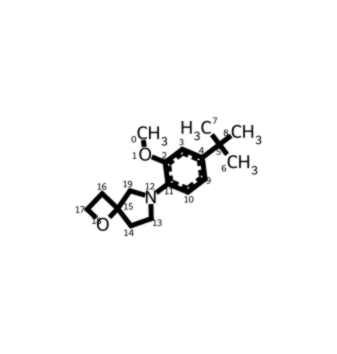 COc1cc(C(C)(C)C)ccc1N1CCC2(CCO2)C1